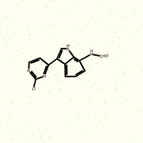 O=CNc1cccc2c(-c3ccnc(Cl)n3)c[nH]c12